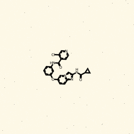 O=C(Nc1cccc(Oc2ccc3nc(NC(=O)C4CC4)cn3c2)c1)c1ccncc1Cl